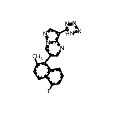 Cc1ccc2c(F)cccc2c1-c1cnc2c(-c3nnn[nH]3)cnn2c1